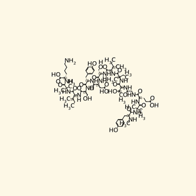 CC[C@H](C)[C@H](NC(=O)[C@H](CO)NC(=O)[C@H](Cc1ccc(O)cc1)NC(=O)[C@H](CC(=O)O)NC(=O)[C@H](CO)NC(=O)[C@@H](NC(=O)[C@](C)(CC)NC(=O)[C@@H](NC(=O)CNC(=O)[C@H](CCC(=O)O)NC(=O)C(C)(C)NC(=O)[C@H](Cc1ccc(O)cc1)NC)[C@@H](C)O)[C@@H](C)CC)C(=O)NC(C)(C)C(=O)N[C@@H](CCCCN)C(=O)O